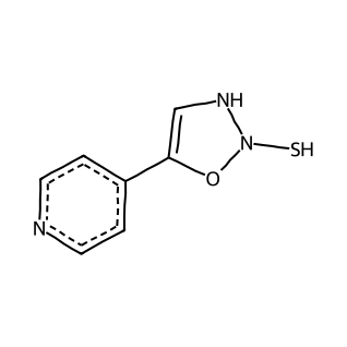 SN1NC=C(c2ccncc2)O1